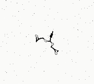 CC#CC(OCC1CO1)OCC1CO1